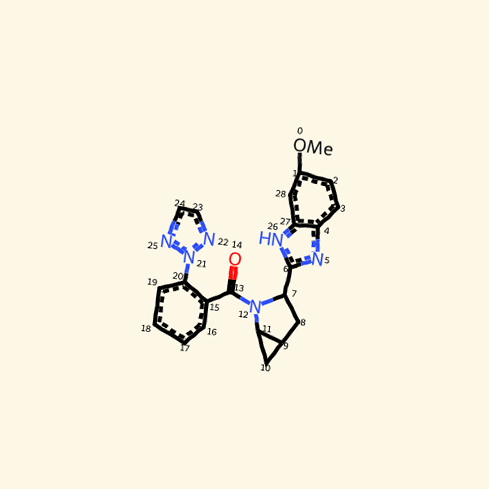 COc1ccc2nc(C3CC4CC4N3C(=O)c3ccccc3-n3nccn3)[nH]c2c1